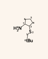 CC(C)(C)CSC1CCCC1N